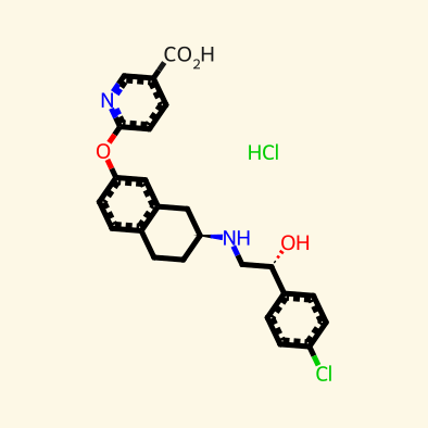 Cl.O=C(O)c1ccc(Oc2ccc3c(c2)C[C@@H](NC[C@H](O)c2ccc(Cl)cc2)CC3)nc1